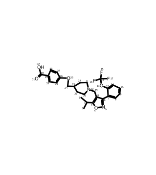 CC(C)c1onc(-c2ccccc2OC(F)(F)F)c1CN1CCC(COc2ccc(C(=O)O)cc2)CC1